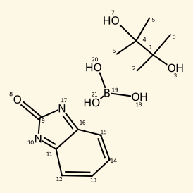 CC(C)(O)C(C)(C)O.O=C1N=c2ccccc2=N1.OB(O)O